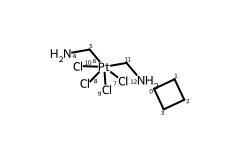 C1CCC1.N[CH2][Pt]([Cl])([Cl])([Cl])([Cl])[CH2]N